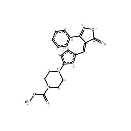 CC(C)(C)OC(=O)N1CCN(c2ccc(/C=C3/C(=O)ON=C3c3ccccc3)s2)CC1